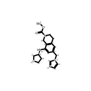 CC(C)(C)OC(=O)N1CCc2cc(Cn3ccnc3)cc(N[C@H]3CCOC3)c2C1